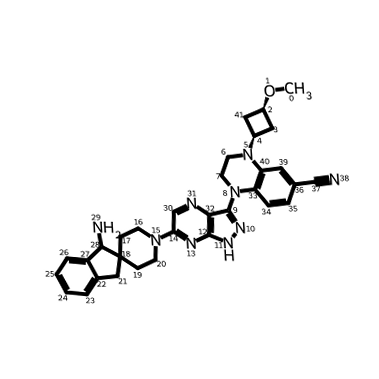 CO[C@H]1C[C@@H](N2CCN(c3n[nH]c4nc(N5CCC6(CC5)Cc5ccccc5C6N)cnc34)c3ccc(C#N)cc32)C1